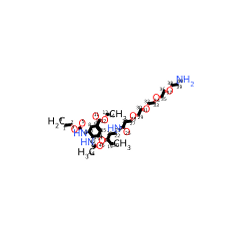 C=CCOC(=O)N[C@H]1CC(C(=O)OCC)=C[C@@H](OC(CC)CCNC(=O)CCOCCOCCOCCOCCN)C1NC(C)=O